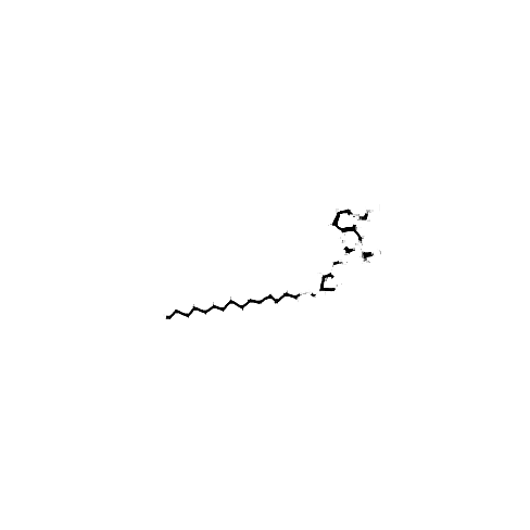 CCCCCCCCCCCCCCCCOC[C@@H]1CO[C@H](COC(=O)N(Cc2cccc[n+]2CC)C(C)=O)C1